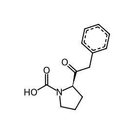 O=C(Cc1ccccc1)[C@H]1CCCN1C(=O)O